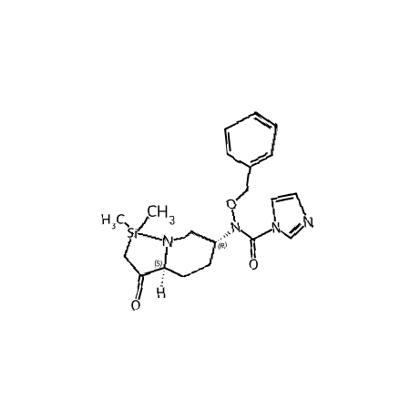 C[Si]1(C)CC(=O)[C@@H]2CC[C@@H](N(OCc3ccccc3)C(=O)n3ccnc3)CN21